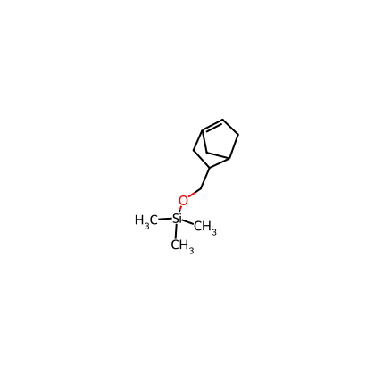 C[Si](C)(C)OCC1CC2=CCC1C2